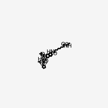 CCONC(=O)CCCCCCC(=O)Nc1ccc2c(c1)CN(C(=O)OC(C)(C)C)[C@H](C(=O)N[C@@H](CC(C)C)C(=O)OC1CCCC1)C2